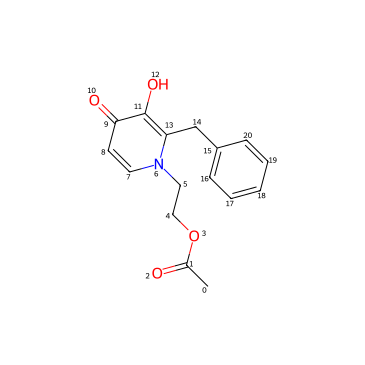 CC(=O)OCCn1ccc(=O)c(O)c1Cc1ccccc1